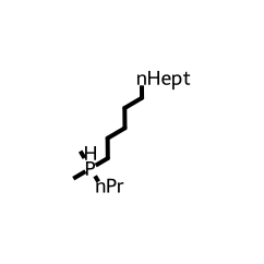 CCCCCCCCCCCC[PH](C)(C)CCC